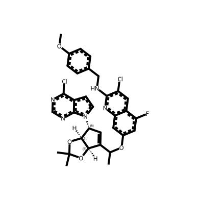 COc1ccc(CNc2nc3cc(OC(C)C4=C[C@@H](n5ccc6c(Cl)ncnc65)[C@@H]5OC(C)(C)O[C@H]45)cc(F)c3cc2Cl)cc1